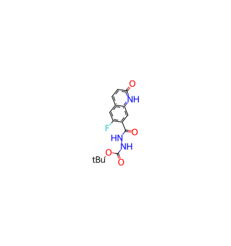 CC(C)(C)OC(=O)NNC(=O)c1cc2[nH]c(=O)ccc2cc1F